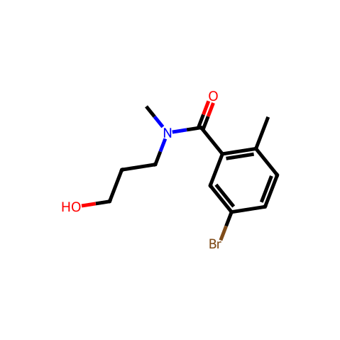 Cc1ccc(Br)cc1C(=O)N(C)CCCO